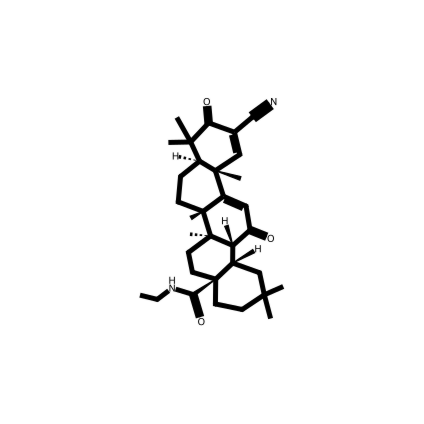 CCNC(=O)[C@]12CCC(C)(C)C[C@H]1[C@H]1C(=O)C=C3[C@@]4(C)C=C(C#N)C(=O)C(C)(C)[C@@H]4CC[C@@]3(C)[C@]1(C)CC2